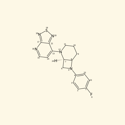 Fc1ccc(N2C[C@@H]3C2CCCN3c2ccnc3nsnc23)cc1